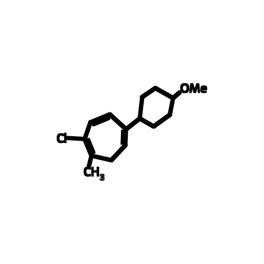 COC1CCC(C2=CCC(C)=C(Cl)C=C2)CC1